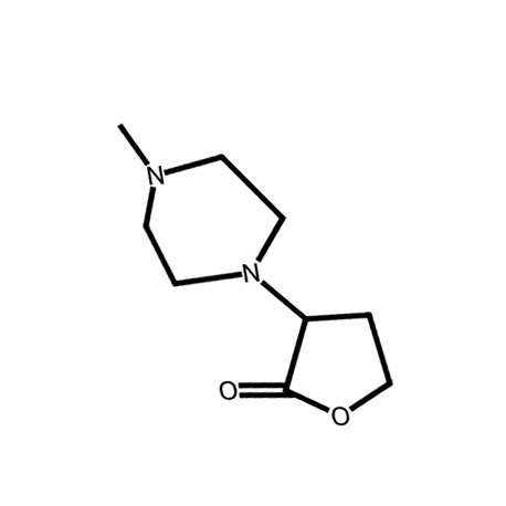 CN1CCN(C2CCOC2=O)CC1